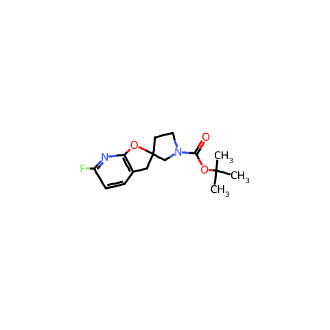 CC(C)(C)OC(=O)N1CCC2(Cc3ccc(F)nc3O2)C1